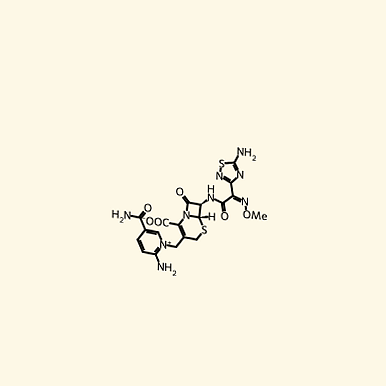 CO/N=C(\C(=O)N[C@@H]1C(=O)N2C(C(=O)[O-])=C(C[n+]3cc(C(N)=O)ccc3N)CS[C@@H]12)c1nsc(N)n1